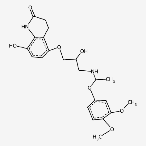 COc1ccc(OC(C)NCC(O)COc2ccc(O)c3c2CCC(=O)N3)cc1OC